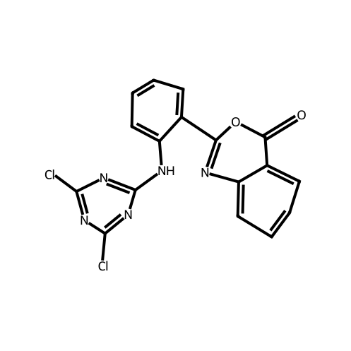 O=c1oc(-c2ccccc2Nc2nc(Cl)nc(Cl)n2)nc2ccccc12